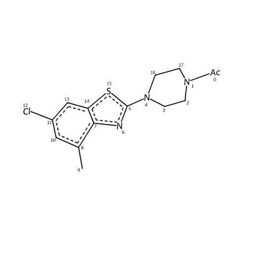 CC(=O)N1CCN(c2nc3c(C)cc(Cl)cc3s2)CC1